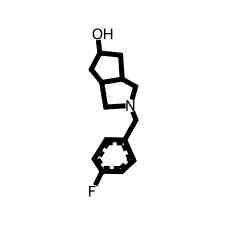 OC1CC2CN(Cc3ccc(F)cc3)CC2C1